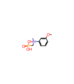 COc1cccc(N(C)CP(=O)(O)O)c1